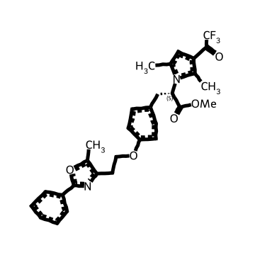 COC(=O)[C@H](Cc1ccc(OCCc2nc(-c3ccccc3)oc2C)cc1)n1c(C)cc(C(=O)C(F)(F)F)c1C